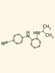 CC(C)Nc1ccccc1Nc1ccc(C#N)cc1